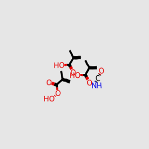 C=C(C)C(=O)O.C=C(C)C(=O)O.C=C(C)C(=O)OO.N=C=O